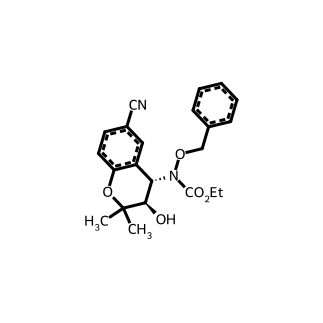 CCOC(=O)N(OCc1ccccc1)[C@H]1c2cc(C#N)ccc2OC(C)(C)[C@@H]1O